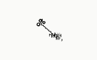 N=C(N)NC(=N)NCCCCCCCCCCCC[PH](c1ccccc1)(c1ccccc1)c1ccccc1